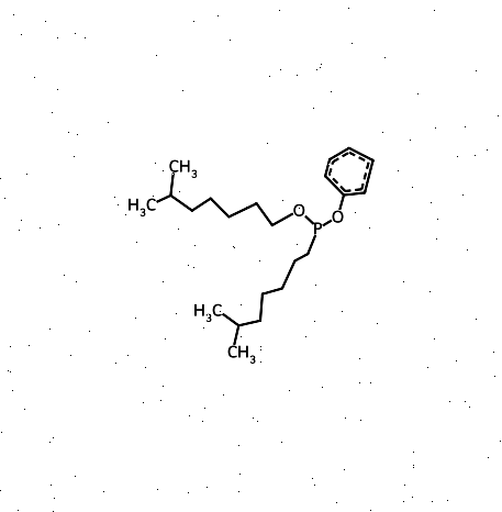 CC(C)CCCCCOP(CCCCCC(C)C)Oc1ccccc1